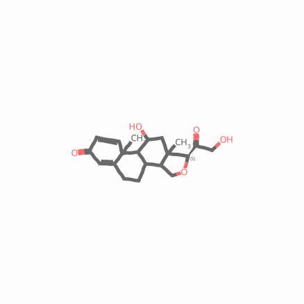 CC12C=CC(=O)C=C1CCC1C2C(O)CC2(C)C1CO[C@@H]2C(=O)CO